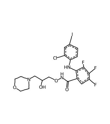 O=C(NOCC(O)CN1CCOCC1)c1cc(F)c(F)c(F)c1Nc1ccc(I)cc1Cl